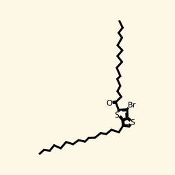 CCCCCCCCCCCCCCCc1csc2c(Br)c(C(=O)CCCCCCCCCCCCCC)sc12